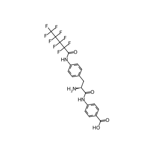 N[C@@H](Cc1ccc(NC(=O)C(F)(F)C(F)(F)C(F)(F)C(F)(F)F)cc1)C(=O)Nc1ccc(C(=O)O)cc1